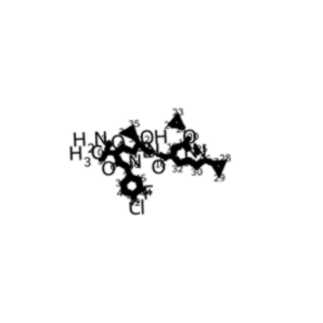 C[C@]1(C(N)=O)COc2c1cc(C(O)(CNC(=O)c1cc(OC3CC3)n3nc(C4CC4)cc3c1)C1CC1)nc2-c1ccc(Cl)c(F)c1